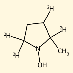 [2H]C1CC([2H])([2H])N(O)C1([2H])C